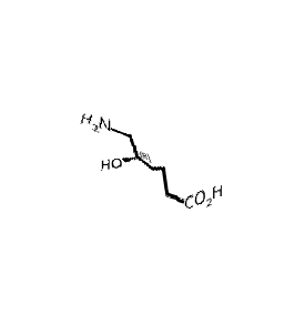 NC[C@H](O)CCC(=O)O